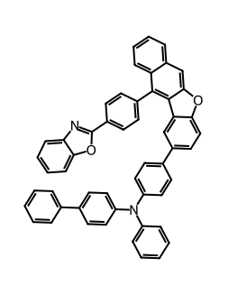 c1ccc(-c2ccc(N(c3ccccc3)c3ccc(-c4ccc5oc6cc7ccccc7c(-c7ccc(-c8nc9ccccc9o8)cc7)c6c5c4)cc3)cc2)cc1